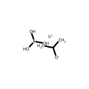 CC(C)[O-].OB(O)O.[Li+]